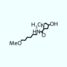 COCCCCCCNC(=O)C1CC(O)CN1C